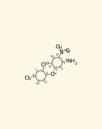 Nc1cc(Oc2ccc(Cl)cc2)c(Cl)cc1[N+](=O)[O-]